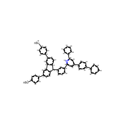 CCCCc1ccc(-c2ccc3c(c2)-c2cc(-c4ccc(CCCC)cc4)ccc2C3c2cccc(-c3cc(-c4ccc(-c5ccccc5)cc4)cc(-c4ccccc4)n3)c2)cc1